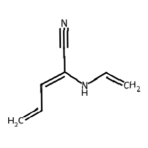 C=C/C=C(/C#N)NC=C